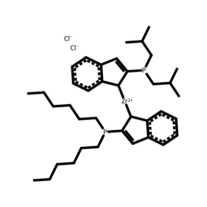 CCCCCCP(CCCCCC)C1=Cc2ccccc2[CH]1[Zr+2][CH]1C(P(CC(C)C)CC(C)C)=Cc2ccccc21.[Cl-].[Cl-]